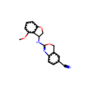 COc1cccc2c1C(NC1=Nc3ccc(C#N)cc3CO1)CO2